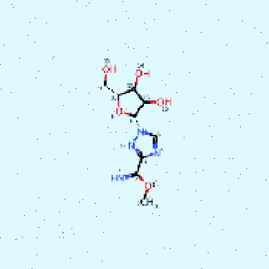 COC(=N)c1ncn([C@@H]2O[C@H](CO)C(O)C2O)n1